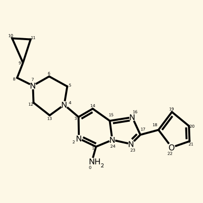 Nc1nc(N2CCN(CC3CC3)CC2)cc2nc(-c3ccco3)nn12